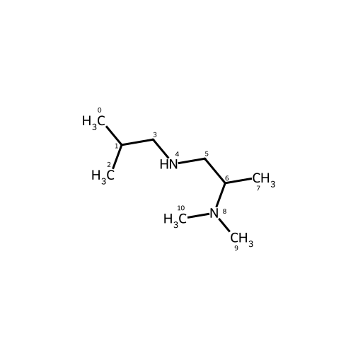 CC(C)CNCC(C)N(C)C